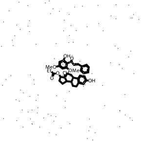 CCC(=O)OC1CCC2C3CCc4cc(O)ccc4C3CCC12C.COc1cc(O)c(C(=O)C=Cc2ccccc2)c(OC)c1